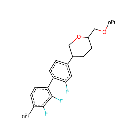 CCCOCC1CCC(c2ccc(-c3ccc(CCC)c(F)c3F)c(F)c2)CO1